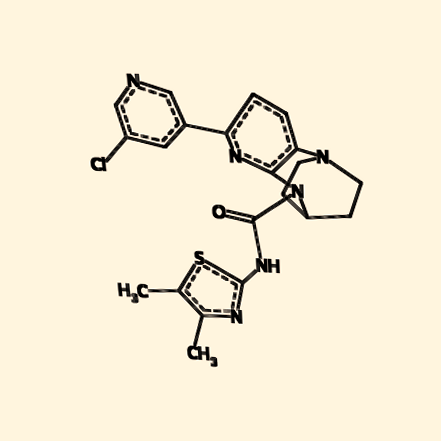 Cc1nc(NC(=O)N2c3nc(-c4cncc(Cl)c4)ccc3N3CCC2CC3)sc1C